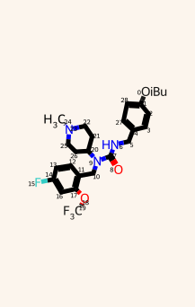 CC(C)COc1ccc(CNC(=O)N(Cc2ccc(F)cc2OC(F)(F)F)C2CCN(C)CC2)cc1